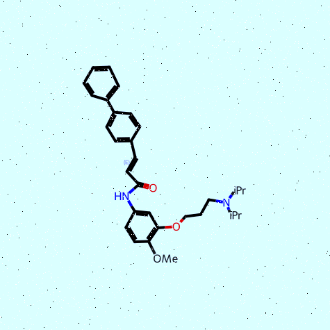 COc1ccc(NC(=O)/C=C/c2ccc(-c3ccccc3)cc2)cc1OCCCN(C(C)C)C(C)C